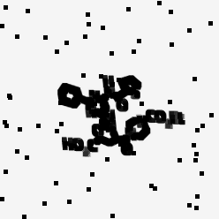 CCOC(=O)N1CCN(C(=O)C(CCC(=O)O)NC(=O)c2cc(NC(=O)c3cccs3)nc(-c3ccccc3)n2)CC1